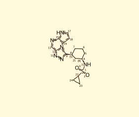 O=S(=O)(N[C@@H]1CCC[C@H](c2nnc3cnc4[nH]ccc4n23)C1)C1CC1